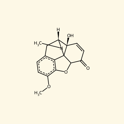 COc1ccc2c3c1OC1C(=O)C=C[C@@]4(O)[C@@H](C2)N(C)CC314